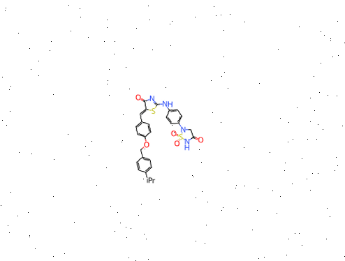 CC(C)c1ccc(COc2ccc(/C=C3\SC(Nc4ccc(N5CC(=O)NS5(=O)=O)cc4)=NC3=O)cc2)cc1